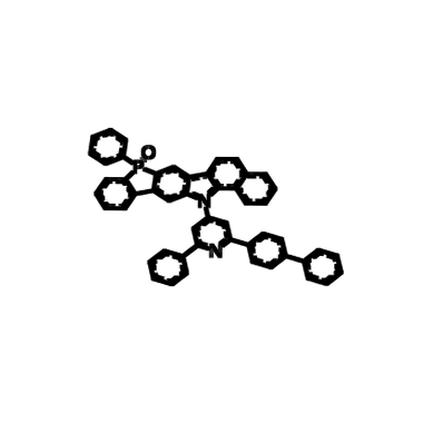 O=P1(c2ccccc2)c2ccccc2-c2cc3c(cc21)c1ccc2ccccc2c1n3-c1cc(-c2ccccc2)nc(-c2ccc(-c3ccccc3)cc2)c1